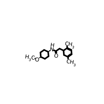 CO[C@H]1CC[C@@H](NC(=O)CC2CC(C)=CC=C2C)CC1